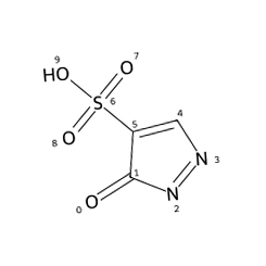 O=C1N=NC=C1S(=O)(=O)O